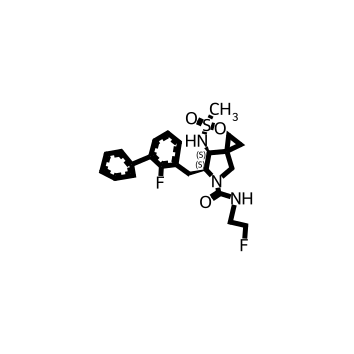 CS(=O)(=O)N[C@@H]1[C@H](Cc2cccc(-c3ccccc3)c2F)N(C(=O)NCCF)CC12CC2